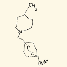 COC12CCC(CN3CCC(C)CC3)(CC1)CC2